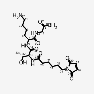 BC(=O)CNC(=O)[C@H](CCCCN)NC(=O)[C@@H](NC(=O)CCCCCN1C(=O)C=CC1=O)[C@@H](C)O